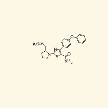 CC(=O)NC[C@@H]1CCCN1c1nc(-c2ccc(Oc3ccccc3)cc2)c(C(N)=O)s1